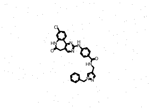 O=C1Cc2cnc(Nc3ccc(C(=O)NCc4cnn(Cc5ccccc5)c4)cc3)nc2-c2ccc(Cl)cc2N1